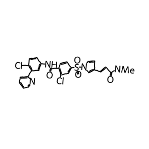 CNC(=O)/C=C/c1ccn(S(=O)(=O)c2ccc(C(=O)Nc3ccc(Cl)c(-c4ccccn4)c3)c(Cl)c2)c1